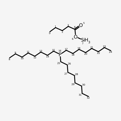 CCCCC(=O)O[SiH3].CCCCCCCCP(CCCCCCCC)CCCCCCCC